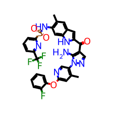 Cc1cc2cc(C(=O)c3cnn(-c4cnc(Oc5ccccc5F)cc4C)c3N)[nH]c2cc1NS(=O)(=O)c1cccc(C(F)(F)F)n1